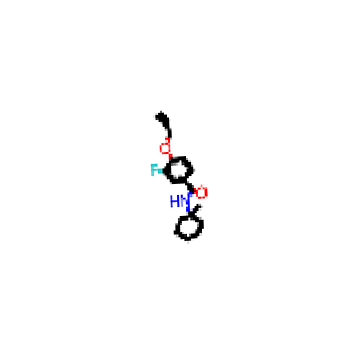 C#CCOc1ccc(C(=O)NC2(C)CCCCC2)cc1F